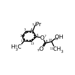 Cc1ccc(C(C)C)c(OC(=O)C(C)O)c1